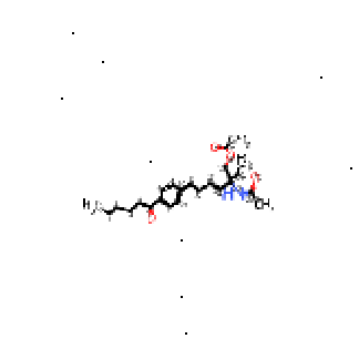 CCCCCC(=O)c1ccc(CCCCC(C)(COC(C)=O)NC(C)=O)cc1